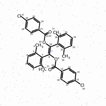 Cc1cccc(C)c1/C(OC(=O)c1ccc(Cl)cc1)=C(\OC(=O)c1ccc(Cl)cc1)c1c(C)cccc1C